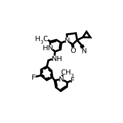 CC1=CC(N2CCC(C#N)(C3CC3)C2=O)=CC(NCc2cc(F)cc(C3=CC=CC(F)N3C)c2)N1